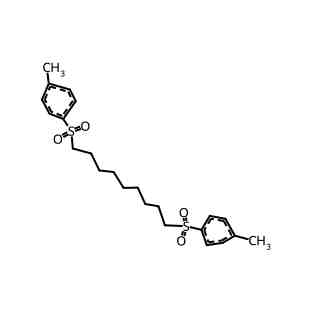 Cc1ccc(S(=O)(=O)CCCCCCCCCS(=O)(=O)c2ccc(C)cc2)cc1